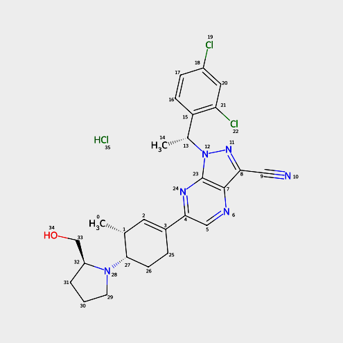 C[C@@H]1C=C(c2cnc3c(C#N)nn([C@H](C)c4ccc(Cl)cc4Cl)c3n2)CC[C@@H]1N1CCC[C@H]1CO.Cl